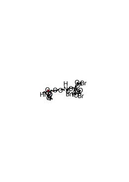 CCC(NC(=O)OC(C)(C)C)C(=O)NCCOCCOCCNC(=O)COCC(COC(=O)C(C)(C)Br)(COC(=O)C(C)(C)Br)COC(=O)C(C)(C)Br